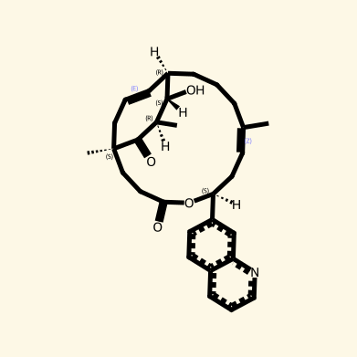 C/C1=C/C[C@@H](c2ccc3cccnc3c2)OC(=O)CC[C@@]2(C)C/C=C/[C@@H](CCC1)[C@H](O)[C@@H](C)C2=O